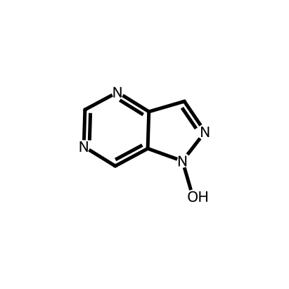 On1ncc2ncncc21